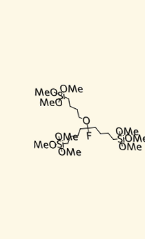 CO[Si](CCCCOC(F)(CCCC[Si](OC)(OC)OC)CCCC[Si](OC)(OC)OC)(OC)OC